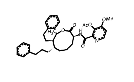 COc1ccnc(C(=O)N[C@H]2CCC[C@H](CCCc3ccccc3)[C@@H](CCc3ccccc3)[C@H](C)OC2=O)c1OC(C)=O